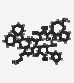 C=C/C=C(\C=C/CN(/C(=C\O)C/C(O)=C(/O)C(=C)c1cccc(C)oc2ccccc2c1C)C(/C=C(/O)Cc1ccccc1)=C(\O)CO)C1=CC=CC(C2=CC=CCC=C2)C(C2=CCC=CC=C2)=C1